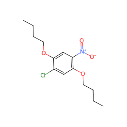 CCCCOc1cc([N+](=O)[O-])c(OCCCC)cc1Cl